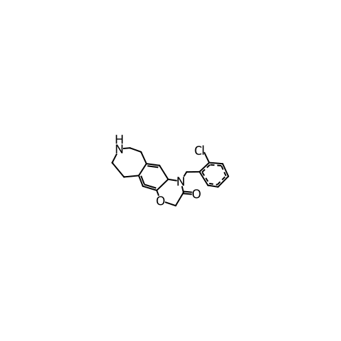 O=C1COC2=C=C3CCNCCC3=CC2N1Cc1ccccc1Cl